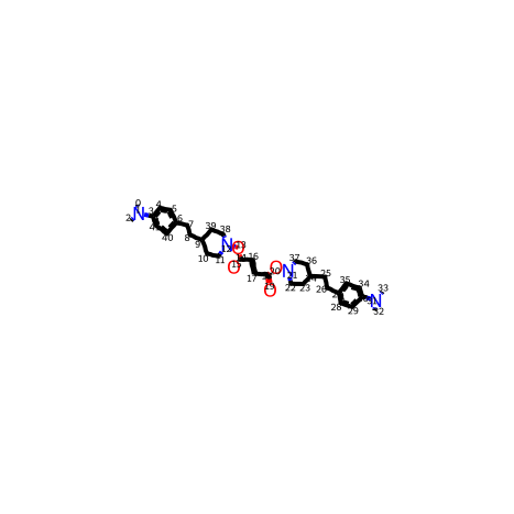 CN(C)c1ccc(CCC2CCN(OC(=O)/C=C/C(=O)ON3CCC(CCc4ccc(N(C)C)cc4)CC3)CC2)cc1